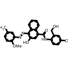 COc1ccc(C)cc1/N=N/c1c(O)cc(C(=O)Nc2ccc(Cl)cc2CO)c2ccccc12